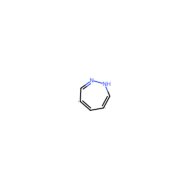 [C]1=C[C]=CNN=C1